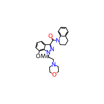 COc1cccc2c(C(=O)N3CCCc4ccccc43)nn(CCN3CCOCC3)c12